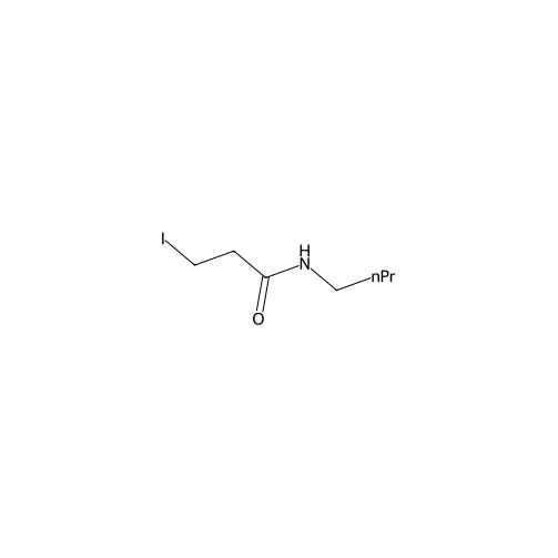 CCCCNC(=O)CCI